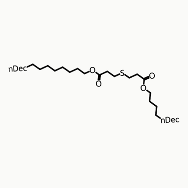 CCCCCCCCCCCCCCCCCCOC(=O)CCSCCC(=O)OCCCCCCCCCCCCCC